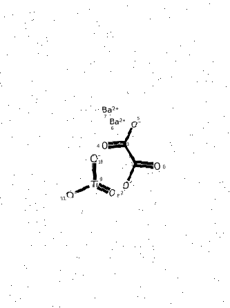 O=C([O-])C(=O)[O-].[Ba+2].[Ba+2].[O]=[Ti]([O-])[O-]